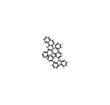 c1ccc(-c2nc3c(ccc4ccccc43)nc2-n2c3cccc4c5cccc6c7ccccc7n(c7ccc(-c8ccccc8)c2c7c43)c56)cc1